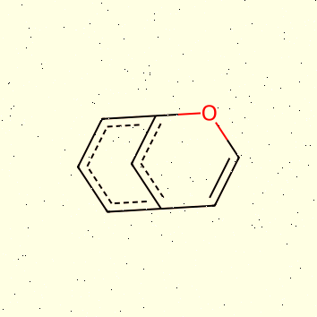 C1=Cc2cccc(c2)O1